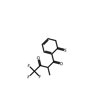 CC(C(=O)C1=CC=CCC1=S)C(=O)C(F)(F)F